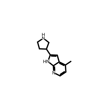 Cc1ccnc2[nH]c(C3CCNC3)cc12